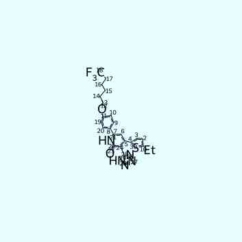 CCc1ccc(-c2cc(-c3ccc(OCCCCCC(F)(F)F)cc3)[nH]c(=O)c2-c2nnn[nH]2)s1